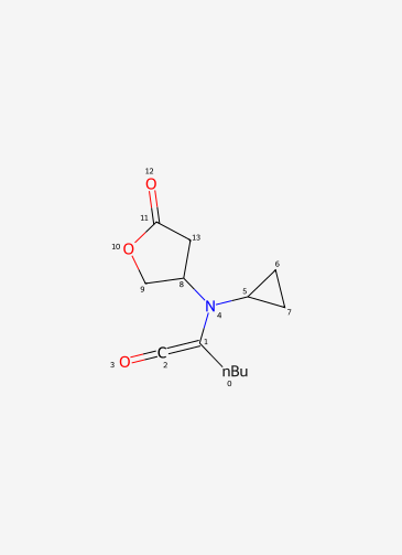 CCCCC(=C=O)N(C1CC1)C1COC(=O)C1